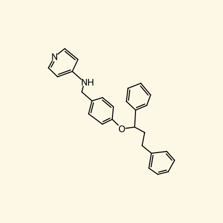 c1ccc(CCC(Oc2ccc(CNc3ccncc3)cc2)c2ccccc2)cc1